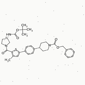 Cc1cc(-c2ccc(C3CCN(C(=O)OCc4ccccc4)CC3)cc2)sc1C(=O)N1CC[C@H](NC(=O)OC(C)(C)C)C1